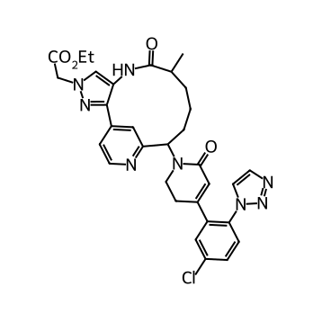 CCOC(=O)Cn1cc2c(n1)-c1ccnc(c1)C(N1CCC(c3cc(Cl)ccc3-n3ccnn3)=CC1=O)CCCC(C)C(=O)N2